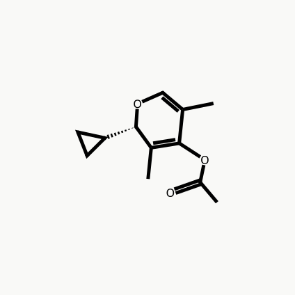 CC(=O)OC1=C(C)[C@H](C2CC2)OC=C1C